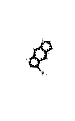 Nc1csc2cc3sccc3cc12